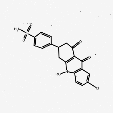 NS(=O)(=O)c1ccc(C2CC(=O)c3c(n(O)c4ccc(Cl)cc4c3=O)C2)cc1